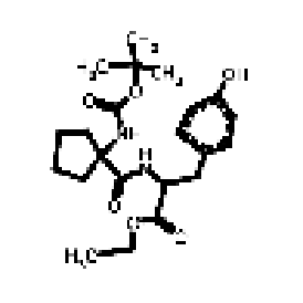 CCOC(=O)C(Cc1ccc(O)cc1)NC(=O)C1(NC(=O)OC(C)(C)C)CCCC1